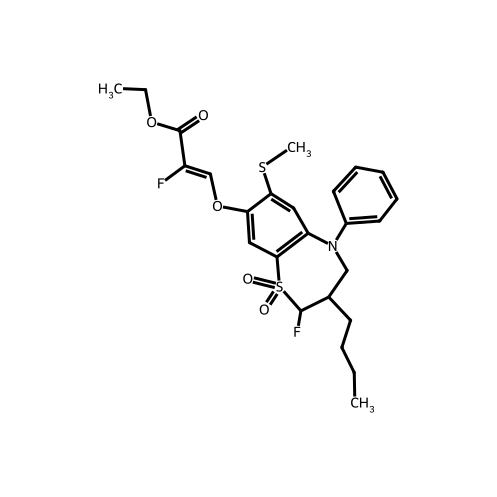 CCCCC1CN(c2ccccc2)c2cc(SC)c(O/C=C(\F)C(=O)OCC)cc2S(=O)(=O)C1F